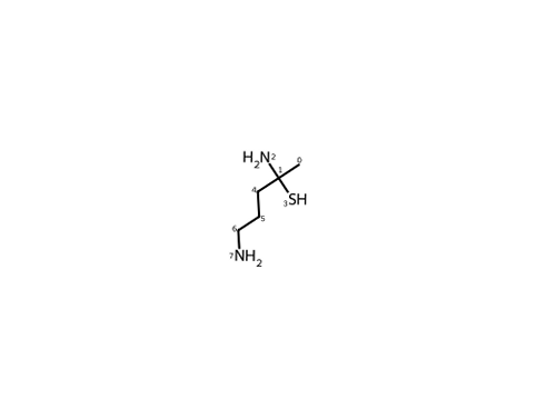 CC(N)(S)CCCN